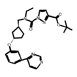 CCN(C[C@H]1CC[C@H](Oc2cccc(-c3ccncn3)c2)C1)C(=O)n1ccc(C(=O)OC(C)(C)C)n1